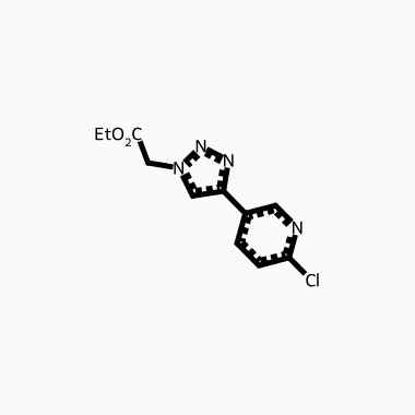 CCOC(=O)Cn1cc(-c2ccc(Cl)nc2)nn1